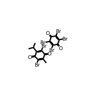 CC1=C(Br)C(=O)C(C(C)C)=C(Br)C1=O.O=C1C(Br)=C(Br)C(=O)C(Br)=C1Br